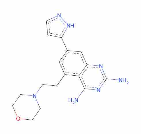 Nc1nc(N)c2c(CCN3CCOCC3)cc(-c3ccn[nH]3)cc2n1